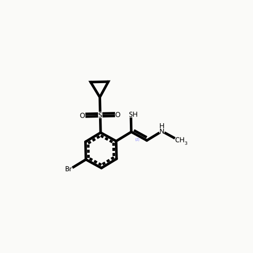 CN/C=C(\S)c1ccc(Br)cc1S(=O)(=O)C1CC1